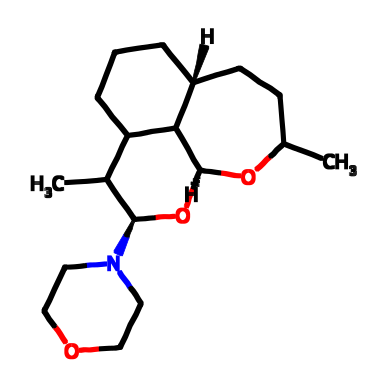 CC1CC[C@H]2CCCC3C2[C@@H](O1)O[C@@H](N1CCOCC1)C3C